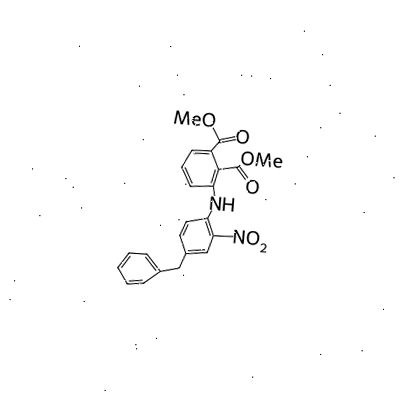 COC(=O)c1cccc(Nc2ccc(Cc3ccccc3)cc2[N+](=O)[O-])c1C(=O)OC